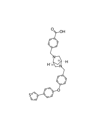 O=C(O)c1ccc(CN2C[C@@H]3C[C@H]2CN3Cc2ccc(Oc3ccc(-c4ccsc4)cc3)cc2)cc1